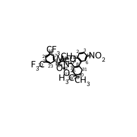 COc1ccc([N+](=O)[O-])cc1C1=C(CN2C(=O)O[C@H](c3cc(C(F)(F)F)cc(C(F)(F)F)c3)[C@@H]2C)CC(C)(C)CC1